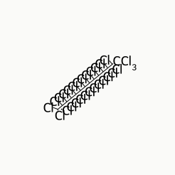 Cl[C](Cl)C(Cl)(Cl)C(Cl)(Cl)C(Cl)(Cl)C(Cl)(Cl)C(Cl)(Cl)C(Cl)(Cl)C(Cl)(Cl)C(Cl)(Cl)C(Cl)(Cl)C(Cl)(Cl)C(Cl)(Cl)C(Cl)(Cl)C(Cl)(Cl)Cl